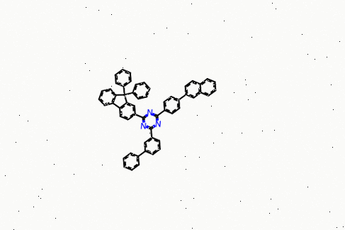 c1ccc(-c2cccc(-c3nc(-c4ccc(-c5ccc6ccccc6c5)cc4)nc(-c4ccc5c(c4)C(c4ccccc4)(c4ccccc4)c4ccccc4-5)n3)c2)cc1